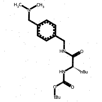 CCCC[C@H](NC(=O)OC(C)(C)C)C(=O)NCc1ccc(CN(C)C)cc1